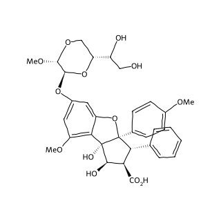 COc1ccc([C@@]23Oc4cc(O[C@@H]5O[C@@H](C(O)CO)CO[C@H]5OC)cc(OC)c4[C@]2(O)[C@H](O)[C@H](C(=O)O)[C@H]3c2ccccc2)cc1